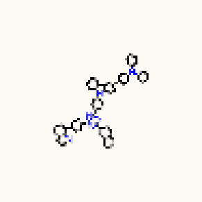 c1ccc(N(c2ccccc2)c2ccc(-c3ccc4c(c3)c3ccccc3n4-c3ccc(-c4nc(-c5ccc(-c6cccc7cccnc67)cc5)nc(-c5ccc6ccccc6c5)n4)cc3)cc2)cc1